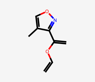 C=COC(=C)c1nocc1C